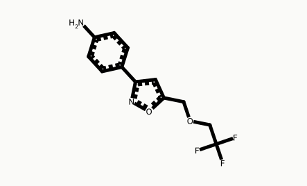 Nc1ccc(-c2cc(COCC(F)(F)F)on2)cc1